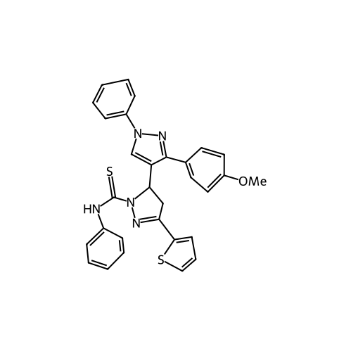 COc1ccc(-c2nn(-c3ccccc3)cc2C2CC(c3cccs3)=NN2C(=S)Nc2ccccc2)cc1